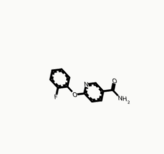 NC(=O)c1ccc(Oc2ccccc2F)nc1